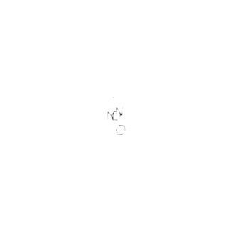 CCCCCc1ccc(-c2cnc(C3CCC(CCCCC)CC3)nc2C)cc1